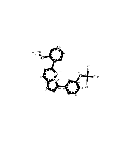 COc1cnccc1-c1ccc2ncc(-c3cccc(OC(F)(F)F)c3)n2n1